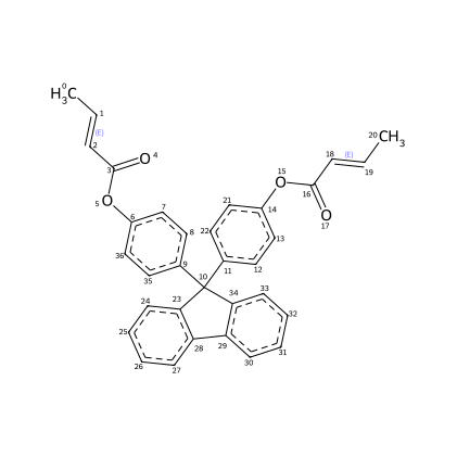 C/C=C/C(=O)Oc1ccc(C2(c3ccc(OC(=O)/C=C/C)cc3)c3ccccc3-c3ccccc32)cc1